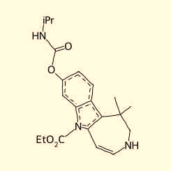 CCOC(=O)n1c2c(c3ccc(OC(=O)NC(C)C)cc31)C(C)(C)CNC=C2